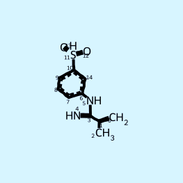 C=C(C)C(=N)Nc1cccc([SH](=O)=O)c1